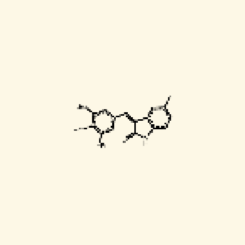 Cc1ccc2c(c1)C(=Cc1cc(C(C)(C)C)c(O)c(C(C)(C)C)c1)C(=O)N2